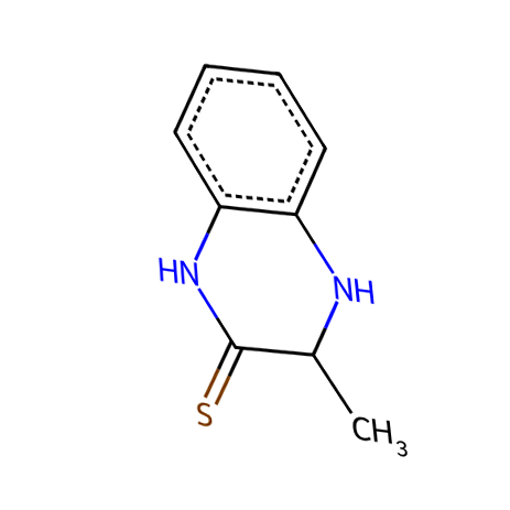 CC1Nc2ccccc2NC1=S